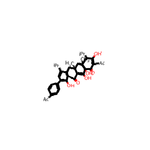 CC(=O)C1=C(O)C(C(C)C)[C@@]2(C)C[C@@]3(C)Cc4c(C(C)C)cc(-c5ccc(C(C)=O)cc5)c(O)c4C(=O)C3=C(O)[C@@]2(O)C1=O